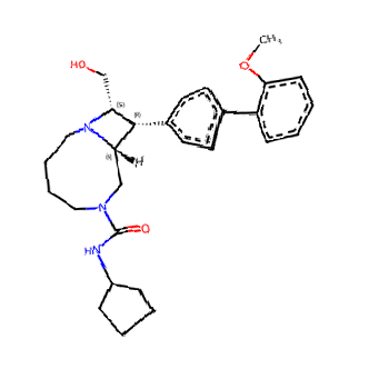 COc1ccccc1-c1ccc([C@H]2[C@@H](CO)N3CCCCN(C(=O)NC4CCCC4)C[C@@H]23)cc1